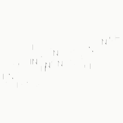 Cc1cc(Nc2ncc(F)c(NC3C(C(N)=O)[C@@H]4C=C[C@H]3C4)n2)ccc1N1CCN(C)CC1